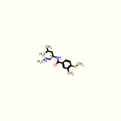 CNC[C@@H](CC(C)C)NC(=O)c1ccc(SC)c(C)c1